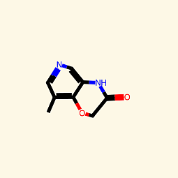 Cc1cncc2c1OCC(=O)N2